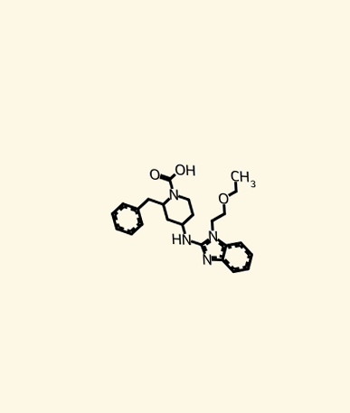 CCOCCn1c(NC2CCN(C(=O)O)C(Cc3ccccc3)C2)nc2ccccc21